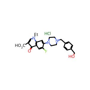 CCn1cc(C(=O)O)c(=O)c2cc(F)c(N3CCN(Cc4ccc(CO)cc4)CC3)cc21.Cl